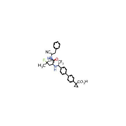 CC(C)(F)CC(NC(c1ccc(-c2ccc(C3(C(=O)O)CC3)cc2)cc1)C(F)(F)F)C(=O)NC(C#N)Cc1ccccc1